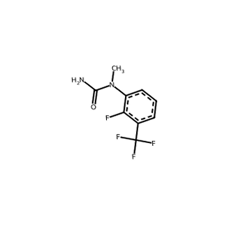 CN(C(N)=O)c1cccc(C(F)(F)F)c1F